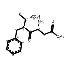 COC(=O)C[C@@H](N)C(=O)N(Cc1ccccc1)[C@H](C)C(=O)O